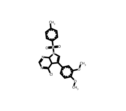 COc1ccc(C2=CN(S(=O)(=O)c3ccc(C)cc3)C3N=CN=C(Cl)C23)cc1OC